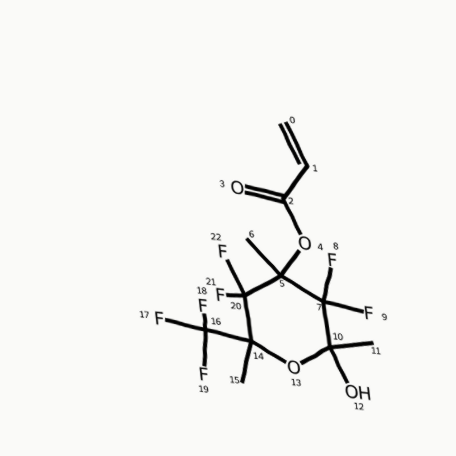 C=CC(=O)OC1(C)C(F)(F)C(C)(O)OC(C)(C(F)(F)F)C1(F)F